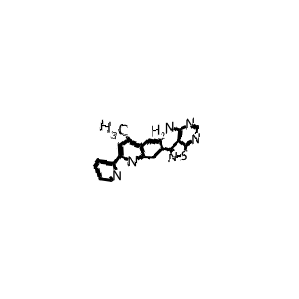 Cc1cc(-c2ccccn2)nc2cc(-c3nsc4ncnc(N)c34)ccc12